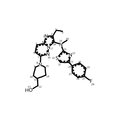 CCc1nc2ccc(N3CCC(CO)CC3)nn2c1N(C)c1nc(-c2ccc(F)cc2)cs1